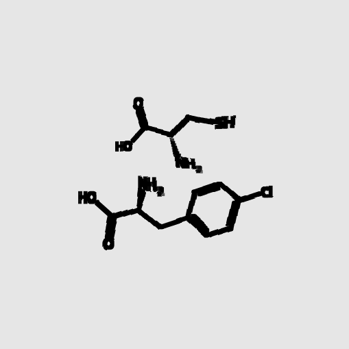 N[C@@H](CS)C(=O)O.N[C@@H](Cc1ccc(Cl)cc1)C(=O)O